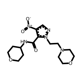 O=C(NC1CCOCC1)c1c([N+](=O)[O-])cnn1CCN1CCOCC1